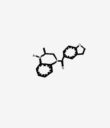 CC(=O)N1c2ccccc2N(C(=O)c2ccc3c(c2)CCO3)CC1C